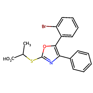 CC(Sc1nc(-c2ccccc2)c(-c2ccccc2Br)o1)C(=O)O